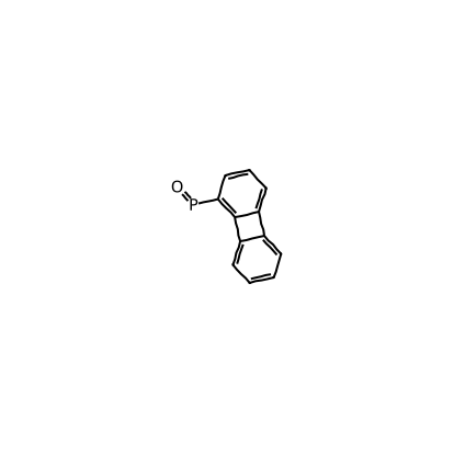 O=Pc1cccc2c1-c1ccccc1-2